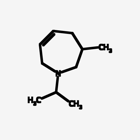 CC1CC=CCN(C(C)C)C1